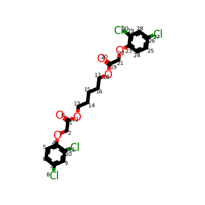 O=C(COc1ccc(Cl)cc1Cl)OCCCCCOC(=O)COc1ccc(Cl)cc1Cl